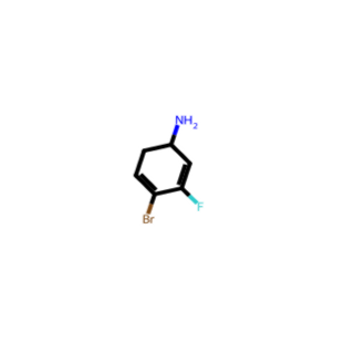 NC1C=C(F)C(Br)=CC1